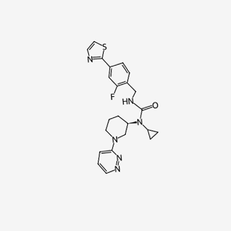 O=C(NCc1ccc(-c2nccs2)cc1F)N(C1CC1)[C@@H]1CCCN(c2cccnn2)C1